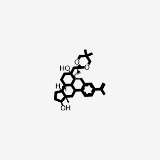 C=C(C)c1ccc2c(c1)C[C@]13CCC4(C[C@]1(O)CC[C@@H]1C3C2C[C@]2(C)[C@@H](O)CC[C@@H]12)OCC(C)(C)CO4